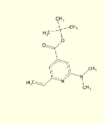 C=Cc1cc(C(=O)OC(C)(C)C)cc(N(C)C)n1